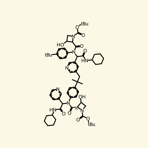 CC(C)(C)OC(=O)N1CC(O)C1C(=O)N(c1ccc(C(C)(C)C)cc1)C(C(=O)NC1CCCCC1)c1cncc(CC(C)(C)c2ccc(N(C(=O)[C@H]3C(O)CN3C(=O)OC(C)(C)C)C(C(=O)NC3CCCCC3)c3cccnc3)cc2)c1